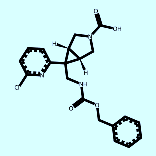 O=C(NCC1(c2cccc(Cl)n2)[C@@H]2CN(C(=O)O)C[C@@H]21)OCc1ccccc1